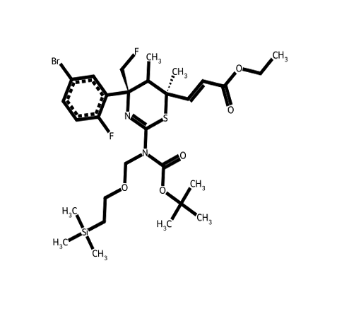 CCOC(=O)/C=C/[C@@]1(C)SC(N(COCC[Si](C)(C)C)C(=O)OC(C)(C)C)=N[C@](CF)(c2cc(Br)ccc2F)C1C